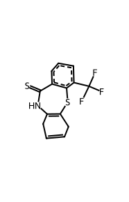 FC(F)(F)c1cccc2c1SC1=C(CC=CC1)NC2=S